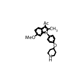 COc1ccc2c(C(C)=O)c(C)n(-c3ccc(OC4CCNCC4)cc3)c2c1